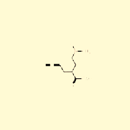 C=C=CCC(CCN(C)C)C(=O)OC